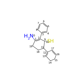 NC1=C(c2ccccc2)C(S)C(C2=CCCC=C2)CC1